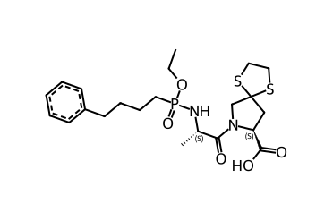 CCOP(=O)(CCCCc1ccccc1)N[C@@H](C)C(=O)N1CC2(C[C@H]1C(=O)O)SCCS2